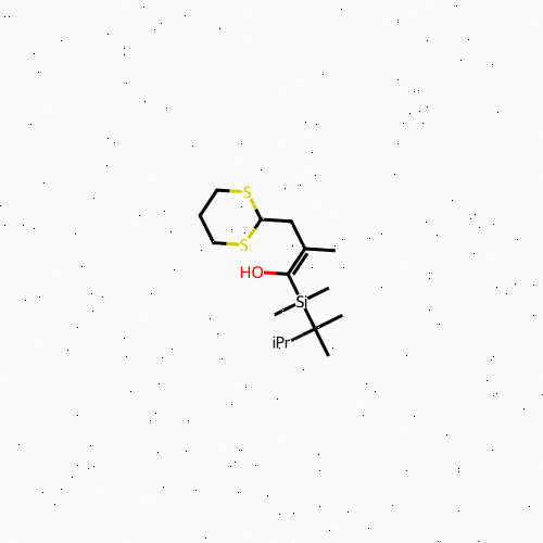 CC(CC1SCCCS1)=C(O)[Si](C)(C)C(C)(C)C(C)C